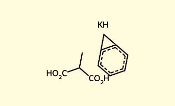 CC(C(=O)O)C(=O)O.[KH].c1ccc2c(c1)C2